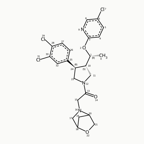 C[C@@H](Oc1ccc(Cl)cn1)[C@@H]1CN(C(=O)CN2CC3CC2CO3)C[C@H]1c1ccc(Cl)c(Cl)c1